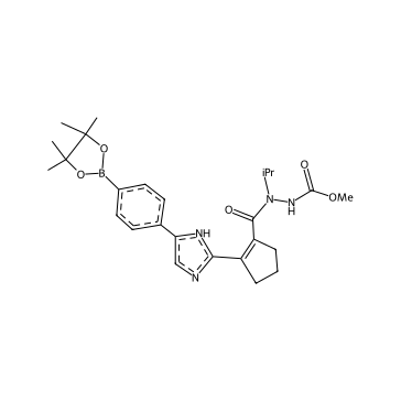 COC(=O)NN(C(=O)C1=C(c2ncc(-c3ccc(B4OC(C)(C)C(C)(C)O4)cc3)[nH]2)CCC1)C(C)C